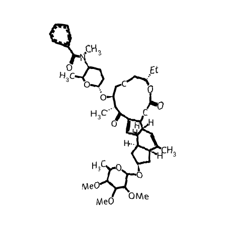 CC[C@H]1CCC[C@H](O[C@H]2CC[C@H](N(C)C(=O)c3ccccc3)C(C)O2)[C@@H](C)C(=O)C2=C[C@@H]3[C@@H](C=C(C)[C@@H]4C[C@@H](OC5OC(C)C(OC)C(OC)C5OC)C[C@@H]34)[C@@H]2CC(=O)O1